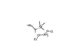 CCCCN(C)[Si](C)(C)C.CCO[SiH2]OCC